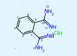 Cl.N=C(N)c1ccccc1C(=N)N